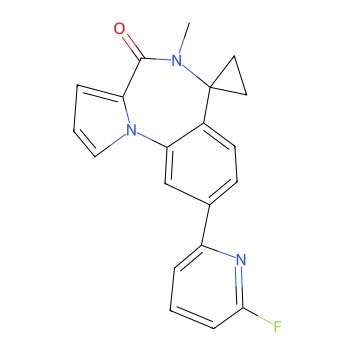 CN1C(=O)c2cccn2-c2cc(-c3cccc(F)n3)ccc2C12CC2